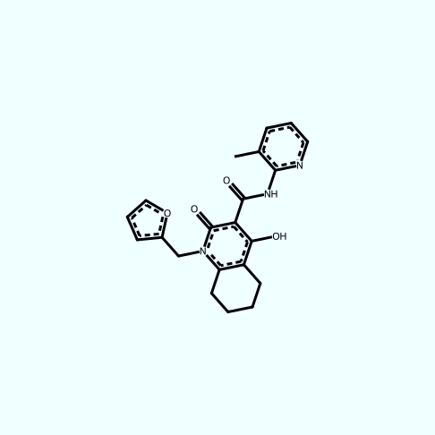 Cc1cccnc1NC(=O)c1c(O)c2c(n(Cc3ccco3)c1=O)CCCC2